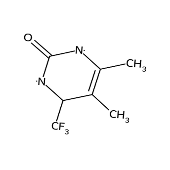 CC1=C(C)C(C(F)(F)F)[N]C(=O)[N]1